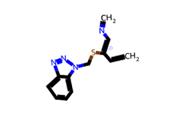 C=C/C(=C/N=C)SCn1nnc2ccccc21